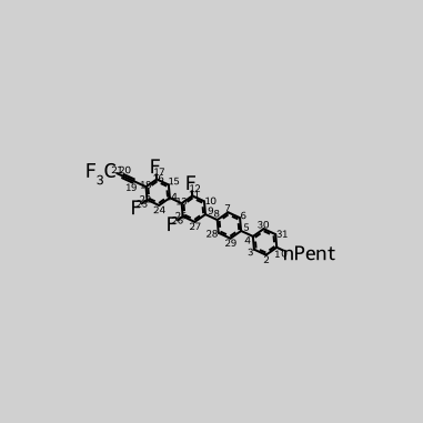 CCCCCc1ccc(-c2ccc(-c3cc(F)c(-c4cc(F)c(C#CC(F)(F)F)c(F)c4)c(F)c3)cc2)cc1